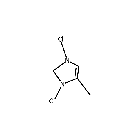 CC1=CN(Cl)CN1Cl